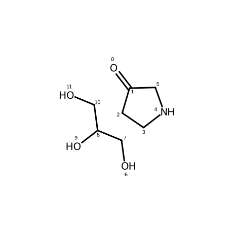 O=C1CCNC1.OCC(O)CO